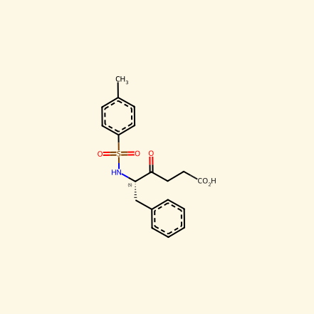 Cc1ccc(S(=O)(=O)N[C@@H](Cc2ccccc2)C(=O)CCC(=O)O)cc1